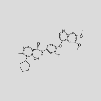 COc1cc2nccc(Oc3ccc(NC(=O)c4cnc(C)c(C5CCCCC5)c4O)cc3F)c2cc1OC